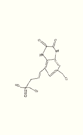 O=c1[nH]c2cc(Cl)cc(C=CCP(=O)(O)O)c2[nH]c1=O